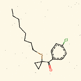 CCCCCCCCSC1(C(=O)c2ccc(Cl)cc2)CC1